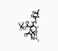 Cc1nnc(SCC2=C(C(=O)OC(C)(C)C)N3C(=O)C(N)[C@H]3SC2)s1